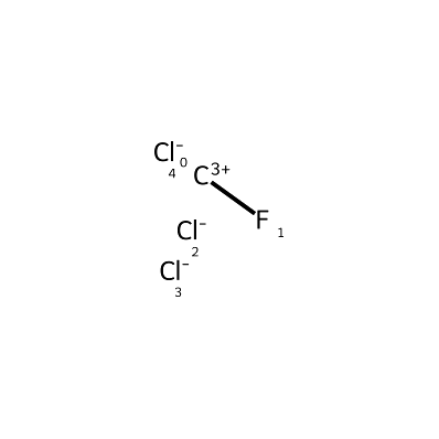 [C+3]F.[Cl-].[Cl-].[Cl-]